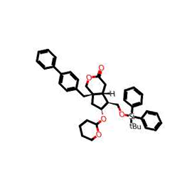 CC(C)(C)[Si](OC[C@@H]1[C@H]2CC(=O)OC[C@@]2(Cc2ccc(-c3ccccc3)cc2)C[C@H]1OC1CCCCO1)(c1ccccc1)c1ccccc1